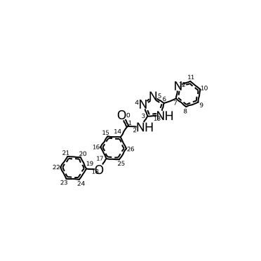 O=C(Nc1nnc(-c2ccccn2)[nH]1)c1ccc(Oc2ccccc2)cc1